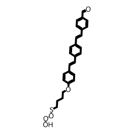 O=Cc1ccc(/C=C/c2ccc(/C=C/c3ccc(OCCCCSOOO)cc3)cc2)cc1